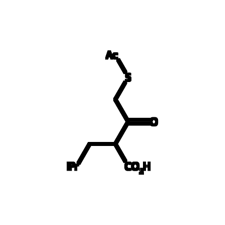 CC(=O)SCC(=O)C(CC(C)C)C(=O)O